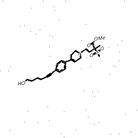 COC(=O)C(C)(CCN1CC=C(c2ccc(C#CCCCCO)cc2)CC1)S(C)(=O)=O